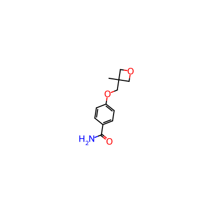 CC1(COc2ccc(C(N)=O)cc2)COC1